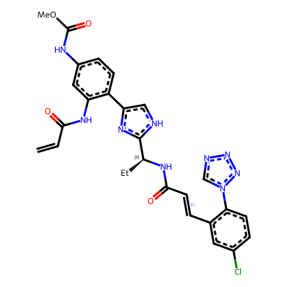 C=CC(=O)Nc1cc(NC(=O)OC)ccc1-c1c[nH]c([C@H](CC)NC(=O)/C=C/c2cc(Cl)ccc2-n2cnnn2)n1